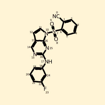 N#Cc1ccccc1S(=O)(=O)n1ccc2cnc(Nc3cccc(F)c3)nc21